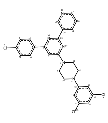 Clc1ccc(-c2cc(N3CCN(c4cc(Cl)cc(Cl)c4)CC3)nc(-c3cccnc3)n2)cc1